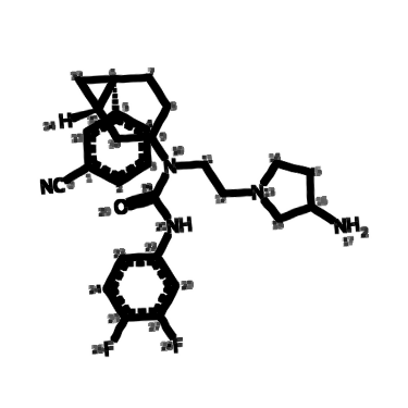 N#Cc1cccc([C@]23CCC(N(CCN4CCC(N)C4)C(=O)Nc4ccc(F)c(F)c4)C[C@@H]2C3)c1